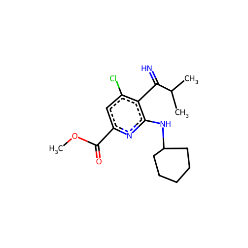 COC(=O)c1cc(Cl)c(C(=N)C(C)C)c(NC2CCCCC2)n1